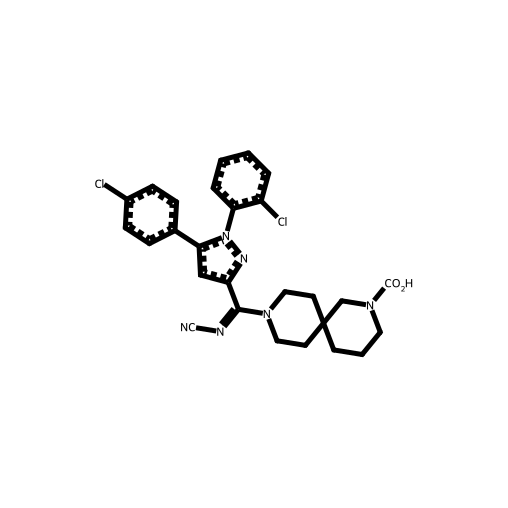 N#CN=C(c1cc(-c2ccc(Cl)cc2)n(-c2ccccc2Cl)n1)N1CCC2(CCCN(C(=O)O)C2)CC1